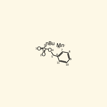 CCCCS(=O)(=O)OCc1ccccc1.[Mn]